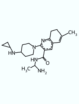 CC1=Cc2cc(C(=O)NC(C)N)c(N3CCC(NC4CC4)CC3)nc2CC1